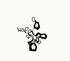 O=C(O)C[C@H]1O[C@H](c2cccc(Cl)c2)[C@@H](c2cc3ccccc3n2S(=O)(=O)c2ccccc2)N(CC2CC2)C1=O